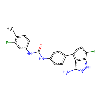 Cc1ccc(NC(=O)Nc2ccc(-c3ccc(F)c4[nH]nc(N)c34)cc2)cc1F